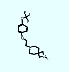 [O-][S+]1CC2(CCN(CCOc3ccc(OC(F)(F)F)cc3)CC2)C1